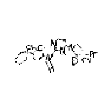 CC(C)[C@]1(C#N)CCN(c2ccnc(Nc3ccc(C4([C]=O)CCCC4)cc3)n2)C1=O